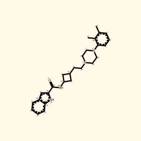 Cc1cccc(N2CCN(CCC3CC(NC(=O)c4cc5ccccc5[nH]4)C3)CC2)c1C